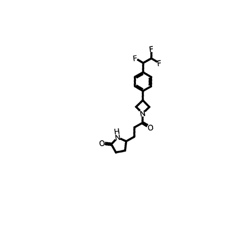 O=C1CCC(CCC(=O)N2CC(c3ccc(C(F)C(F)F)cc3)C2)N1